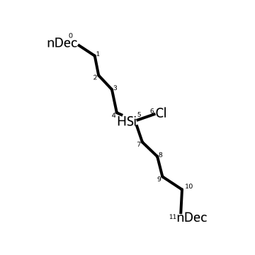 CCCCCCCCCCCCCC[SiH](Cl)CCCCCCCCCCCCCC